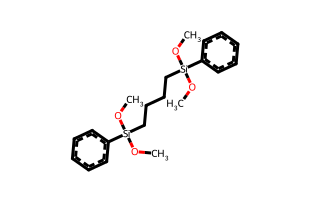 CO[Si](CCCC[Si](OC)(OC)c1ccccc1)(OC)c1ccccc1